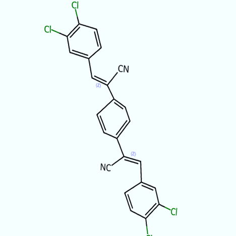 N#C/C(=C\c1ccc(Cl)c(Cl)c1)c1ccc(/C(C#N)=C/c2ccc(Cl)c(Cl)c2)cc1